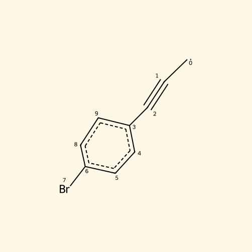 [CH2]C#Cc1ccc(Br)cc1